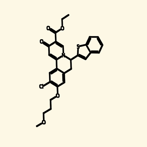 CCOC(=O)c1cn2c(cc1=O)-c1cc(Cl)c(OCCCOC)cc1CC2c1cc2ccccc2s1